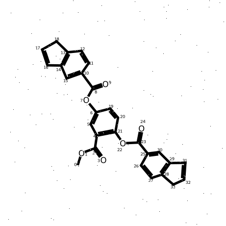 COC(=O)c1cc(OC(=O)c2ccc3c(c2)C=CC3)ccc1OC(=O)c1ccc2c(c1)C=CC2